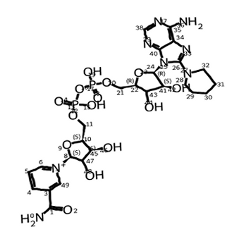 NC(=O)c1ccc[n+]([C@H]2O[C@@H](COP(=O)(O)OP(=O)(O)OC[C@H]3O[C@@H](n4c(N5CCCCC5)nc5c(N)ncnc54)[C@@H](O)C3O)[C@@H](O)C2O)c1